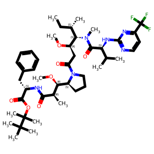 CC[C@H](C)[C@@H]([C@@H](CC(=O)N1CCC[C@H]1[C@H](OC)[C@@H](C)C(=O)N[C@@H](Cc1ccccc1)C(=O)OC(C)(C)C(C)(C)C)OC)N(C)C(=O)[C@@H](Nc1nccc(C(F)(F)F)n1)C(C)C